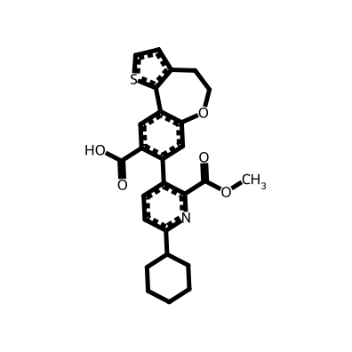 COC(=O)c1nc(C2CCCCC2)ccc1-c1cc2c(cc1C(=O)O)-c1sccc1CCO2